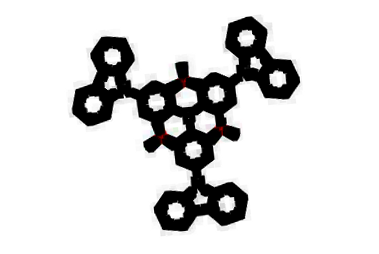 CC(C)c1cc(-n2c3ccccc3c3ccccc32)cc(C(C)C)c1B(c1c(C(C)C)cc(-n2c3ccccc3c3ccccc32)cc1C(C)C)c1c(C(C)C)cc(-n2c3ccccc3c3ccccc32)cc1C(C)C